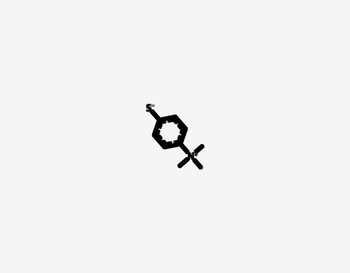 C[N+](C)(C)c1ccc([S-])cc1